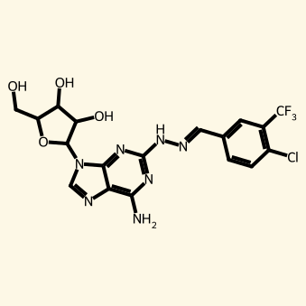 Nc1nc(N/N=C/c2ccc(Cl)c(C(F)(F)F)c2)nc2c1ncn2C1OC(CO)C(O)C1O